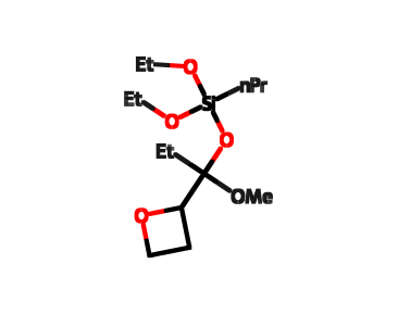 CCC[Si](OCC)(OCC)OC(CC)(OC)C1CCO1